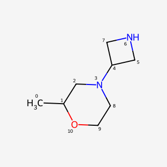 CC1CN(C2CNC2)CCO1